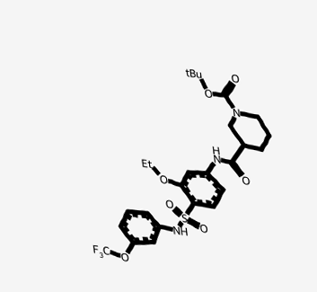 CCOc1cc(NC(=O)C2CCCN(C(=O)OC(C)(C)C)C2)ccc1S(=O)(=O)Nc1cccc(OC(F)(F)F)c1